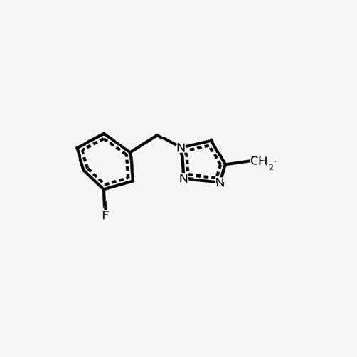 [CH2]c1cn(Cc2cccc(F)c2)nn1